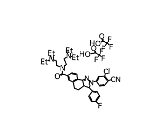 CCN(CC)CCN(CCN(CC)CC)C(=O)c1ccc2c(c1)CCC1C2=NN(c2ccc(C#N)c(Cl)c2)C1c1ccc(F)cc1.O=C(O)C(F)(F)F.O=C(O)C(F)(F)F